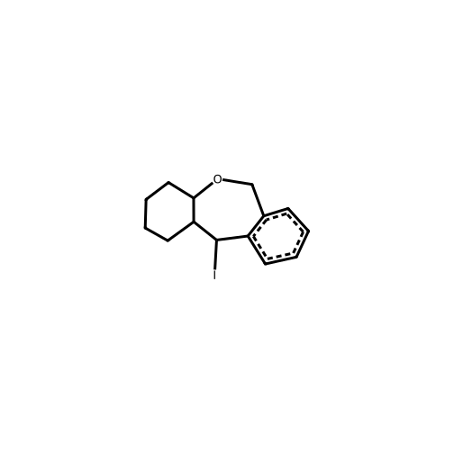 IC1c2ccccc2COC2CCCCC21